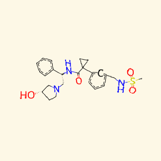 CS(=O)(=O)NCc1cccc(C2(C(=O)N[C@H](CN3CC[C@H](O)C3)c3ccccc3)CC2)c1